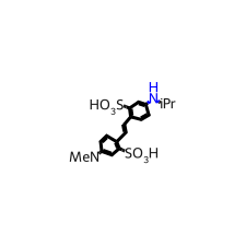 CNc1ccc(/C=C/c2ccc(NC(C)C)cc2S(=O)(=O)O)c(S(=O)(=O)O)c1